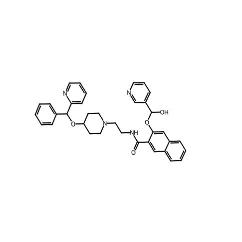 O=C(NCCN1CCC(OC(c2ccccc2)c2ccccn2)CC1)c1cc2ccccc2cc1OC(O)c1cccnc1